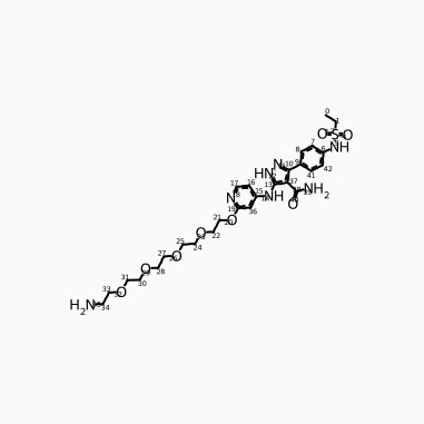 CCS(=O)(=O)Nc1ccc(-c2n[nH]c(Nc3ccnc(OCCOCCOCCOCCOCCN)c3)c2C(N)=O)cc1